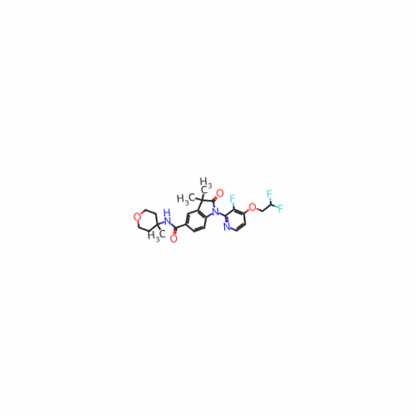 CC1(NC(=O)c2ccc3c(c2)C(C)(C)C(=O)N3c2nccc(OCC(F)F)c2F)CCOCC1